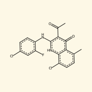 CC(=O)c1c(Nc2ccc(Cl)cc2F)[nH]c2c(Cl)ccc(C)c2c1=O